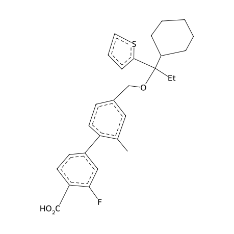 CCC(OCc1ccc(-c2ccc(C(=O)O)c(F)c2)c(C)c1)(c1cccs1)C1CCCCC1